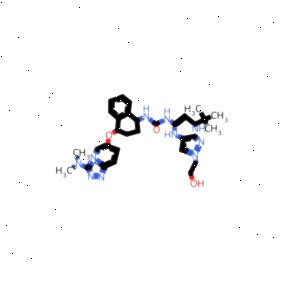 CN(C)c1nnc2ccc(OC3CCC(NC(=O)N/C(=C/C(=N)C(C)(C)C)Nc4cnn(CCO)c4)c4ccccc43)cn12